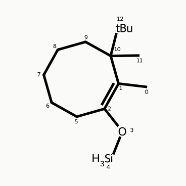 CC1=C(O[SiH3])CCCCCC1(C)C(C)(C)C